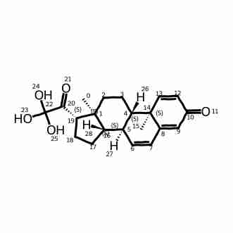 C[C@]12CC[C@H]3[C@@H](C=CC4=CC(=O)C=C[C@@]43C)[C@@H]1CC[C@@H]2C(=O)C(O)(O)O